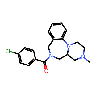 CN1CCN2c3ccccc3CN(C(=O)c3ccc(Cl)cc3)CC2C1